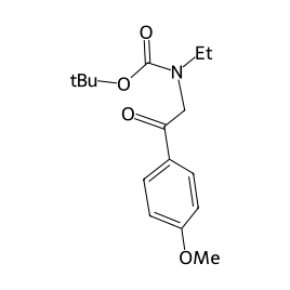 CCN(CC(=O)c1ccc(OC)cc1)C(=O)OC(C)(C)C